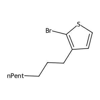 CCCCCCCCc1ccsc1Br